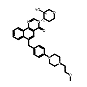 COCCN1CCN(c2ccc(Cc3cc4c(=O)n([C@H]5CCOC[C@@H]5O)cnc4c4ccccc34)cc2)CC1